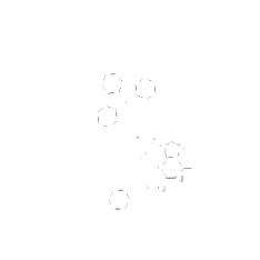 COc1ccc(C(OC[C@H]2O[C@@H](n3cnc4c(=S)[nH]c(NC(=O)Cc5ccccc5)nc43)[C@H](O)[C@@H]2O)(c2ccccc2)c2ccc(OC)cc2)cc1